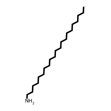 [CH2]CCCCCCCCCCCCCCCCCCCCN